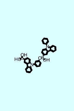 OB(O)c1ccc2c(c1)c1ccccc1n2-c1cccc(OB(O)c2ccc3c(c2)c2ccccc2n3-c2ccccc2)c1